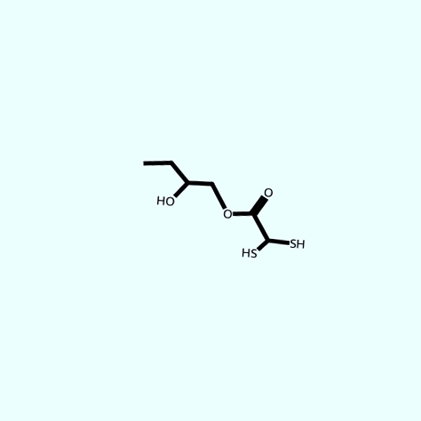 CCC(O)COC(=O)C(S)S